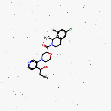 C[C@H]1c2c(Cl)cc(Cl)cc2CCN1C(=O)[C@H]1CN(c2cnccc2C(O)C[N+](=O)[O-])CCO1